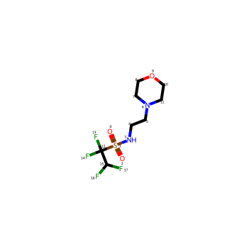 O=S(=O)(NCCN1CCOCC1)C(F)(F)C(F)F